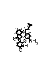 NC1CCC(N(CCC2CC2)c2cccc3c2CN(C2CCC(=O)NC2=O)C3=O)CC1